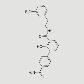 NC(=O)c1ccc(-c2cccc(C(=O)NCCc3cccc(C(F)(F)F)c3)c2O)cc1